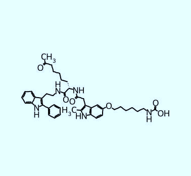 CC(=O)CCCCC[C@H](NC(=O)Cc1c(C)[nH]c2ccc(OCCCCCCNC(=O)O)cc12)C(=O)NCCc1c(-c2ccccc2)[nH]c2ccccc12